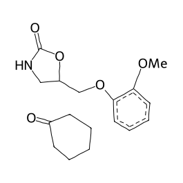 COc1ccccc1OCC1CNC(=O)O1.O=C1CCCCC1